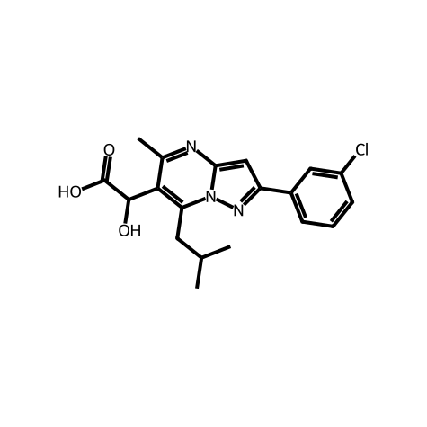 Cc1nc2cc(-c3cccc(Cl)c3)nn2c(CC(C)C)c1C(O)C(=O)O